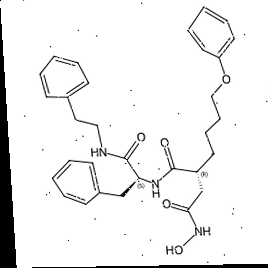 O=C(C[C@@H](CCCCOc1ccccc1)C(=O)N[C@@H](Cc1ccccc1)C(=O)NCCc1ccccc1)NO